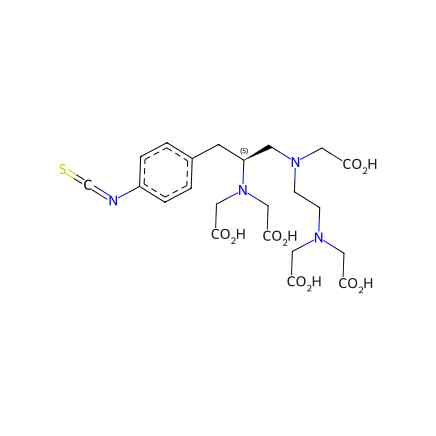 O=C(O)CN(CCN(CC(=O)O)C[C@H](Cc1ccc(N=C=S)cc1)N(CC(=O)O)CC(=O)O)CC(=O)O